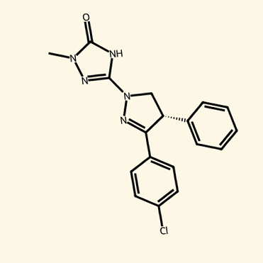 Cn1nc(N2C[C@H](c3ccccc3)C(c3ccc(Cl)cc3)=N2)[nH]c1=O